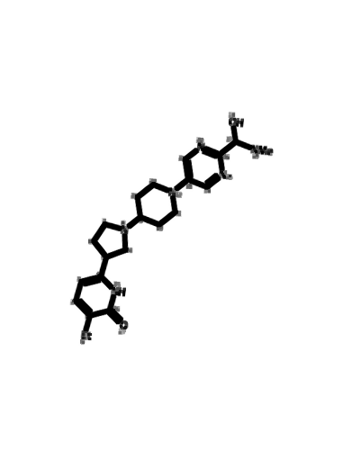 CCc1ccc(C2CCN(C3CCN(c4cnc(C(O)NC)nc4)CC3)C2)[nH]c1=O